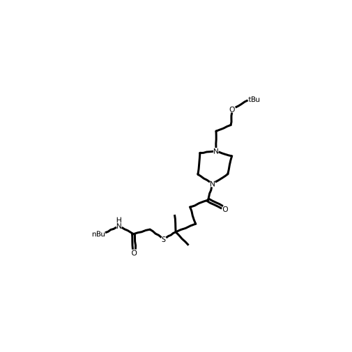 CCCCNC(=O)CSC(C)(C)CCC(=O)N1CCN(CCOC(C)(C)C)CC1